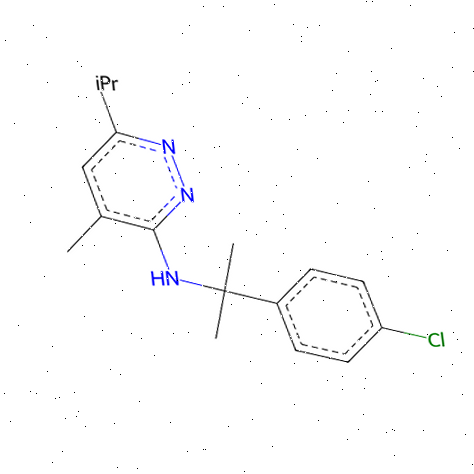 Cc1cc(C(C)C)nnc1NC(C)(C)c1ccc(Cl)cc1